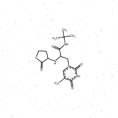 Cc1cn(CC(NC2CCSC2=O)C(=O)NC(C)(C)C)c(=O)[nH]c1=O